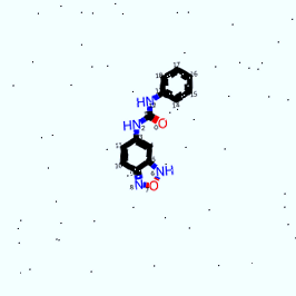 O=C(NC1=CC2NON=C2C=C1)Nc1ccccc1